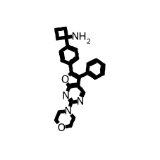 NC1(c2ccc(-c3oc4nc(N5CCOCC5)ncc4c3-c3ccccc3)cc2)CCC1